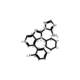 Nc1ncnn1-c1nc2cncc(-c3ccccc3F)c2n1C1CCCCC1